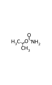 CC(C)=O.NC=O